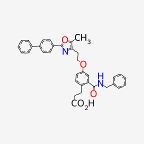 Cc1oc(-c2ccc(-c3ccccc3)cc2)nc1CCOc1ccc(CCC(=O)O)c(C(=O)NCc2ccccc2)c1